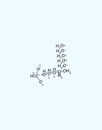 O.O.O.O.O.O.O.O.O.O.[O-][ClH+2][O-]